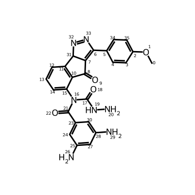 COc1ccc(C2=C3C(=O)c4c(cccc4N(C(=O)NN)C(=O)c4cc(N)cc(N)c4)C3N=N2)cc1